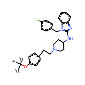 [3H]C([3H])([3H])Oc1ccc(CCN2CCC(Nc3nc4ccccc4n3Cc3ccc(F)cc3)CC2)cc1